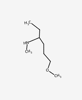 CCC(CCCOC)NC